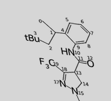 CC(CC(C)(C)C)c1ccccc1NC(=O)C1CN(C)N=C1C(F)(F)F